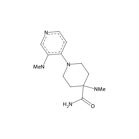 CNc1cnccc1N1CCC(NC)(C(N)=O)CC1